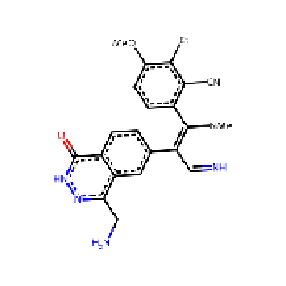 CCc1c(OC)ccc(/C(NC)=C(/C=N)c2ccc3c(=O)[nH]nc(CN)c3c2)c1C#N